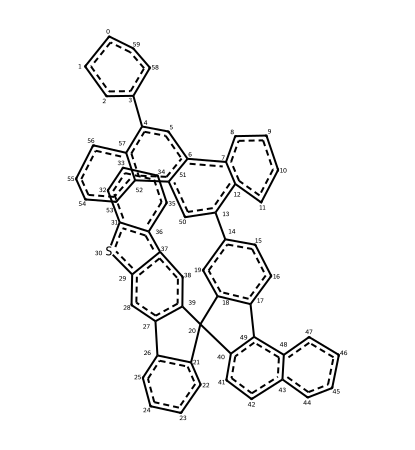 c1ccc(-c2cc3c4ccccc4c(-c4ccc5c(c4)C4(c6ccccc6-c6cc7sc8ccccc8c7cc64)c4ccc6ccccc6c4-5)cc3c3ccccc23)cc1